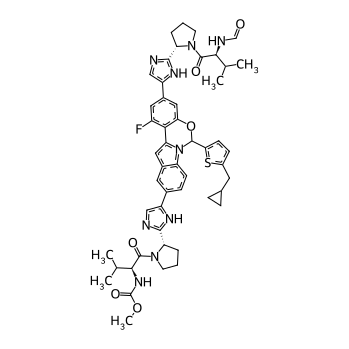 COC(=O)N[C@H](C(=O)N1CCC[C@H]1c1ncc(-c2ccc3c(c2)cc2n3C(c3ccc(CC4CC4)s3)Oc3cc(-c4cnc([C@@H]5CCCN5C(=O)[C@@H](NC=O)C(C)C)[nH]4)cc(F)c3-2)[nH]1)C(C)C